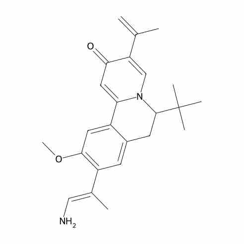 C=C(C)c1cn2c(cc1=O)-c1cc(OC)c(/C(C)=C/N)cc1CC2C(C)(C)C